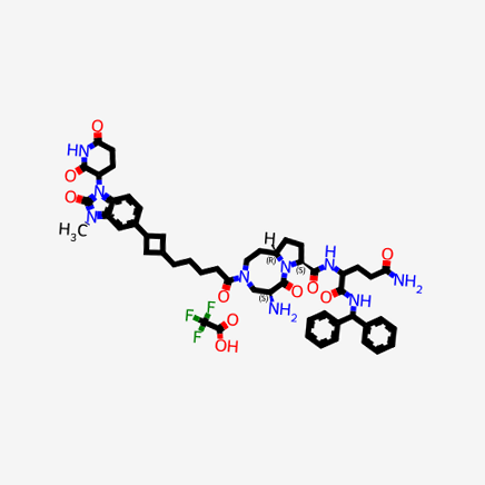 Cn1c(=O)n(C2CCC(=O)NC2=O)c2ccc(C3CC(CCCCC(=O)N4CC[C@H]5CC[C@@H](C(=O)NC(CCC(N)=O)C(=O)NC(c6ccccc6)c6ccccc6)N5C(=O)[C@@H](N)C4)C3)cc21.O=C(O)C(F)(F)F